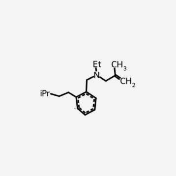 C=C(C)CN(CC)Cc1ccc[c]c1CCC(C)C